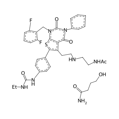 CCNC(=O)Nc1ccc(-c2sc3c(c2CCNCCNC(C)=O)c(=O)n(-c2ccccc2)c(=O)n3Cc2c(F)cccc2F)cc1.NC(=O)CCCO